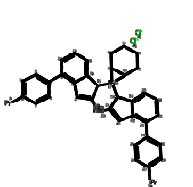 CCCCC1=Cc2c(-c3ccc(C(C)C)cc3)cccc2[CH]1[Zr+2]1([CH]2C(CCCC)=Cc3c(-c4ccc(C(C)C)cc4)cccc32)[CH]2CCCC[CH]21.[Cl-].[Cl-]